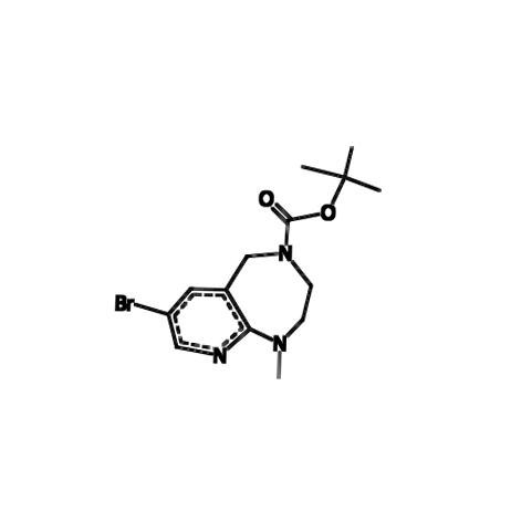 CN1CCN(C(=O)OC(C)(C)C)Cc2cc(Br)cnc21